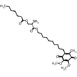 CCCCCCC(=O)OCC(N)C(=O)OCCCCCCCCCCC1=C(C)C(=O)C(OC)=C(OC)C1=O